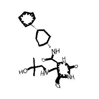 CC(C)(O)CNc1c(C(=O)N[C@H]2CC[C@@H](c3ccccc3)CC2)[nH]c(=O)[nH]c1=O